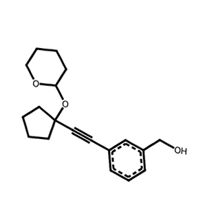 OCc1cccc(C#CC2(OC3CCCCO3)CCCC2)c1